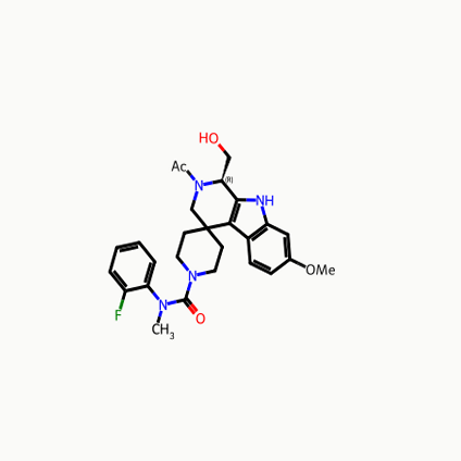 COc1ccc2c3c([nH]c2c1)[C@H](CO)N(C(C)=O)CC31CCN(C(=O)N(C)c2ccccc2F)CC1